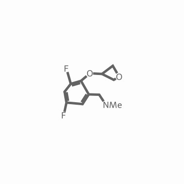 CNCc1cc(F)cc(F)c1OC1COC1